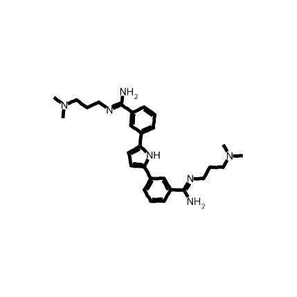 CN(C)CCCN=C(N)c1cccc(-c2ccc(-c3cccc(C(N)=NCCCN(C)C)c3)[nH]2)c1